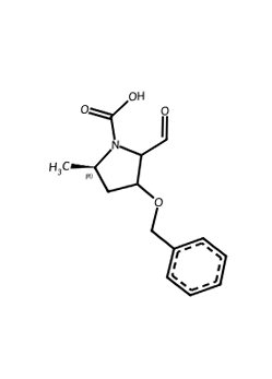 C[C@@H]1CC(OCc2ccccc2)C(C=O)N1C(=O)O